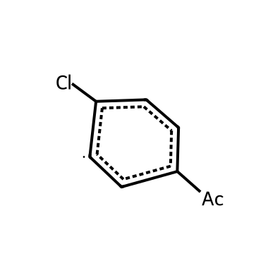 CC(=O)c1c[c]c(Cl)cc1